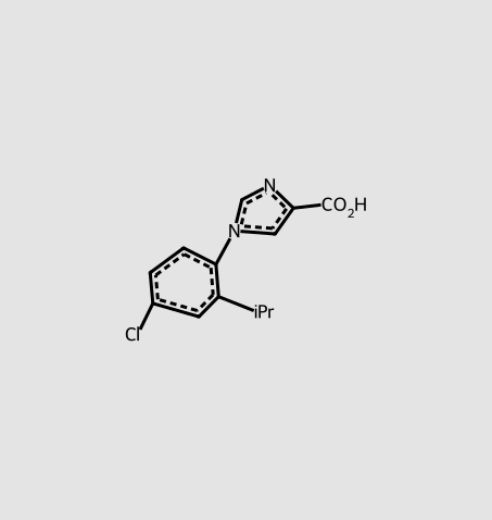 CC(C)c1cc(Cl)ccc1-n1cnc(C(=O)O)c1